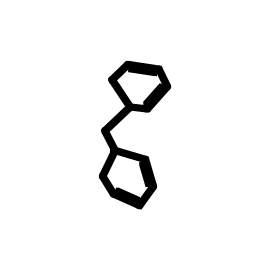 C1=CC[C](C[C]2C=CC=CC2)C=C1